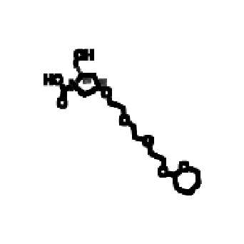 O=C(O)N1C[C@H](OCCOCCOCCOC2CCCCO2)C[C@H]1CO